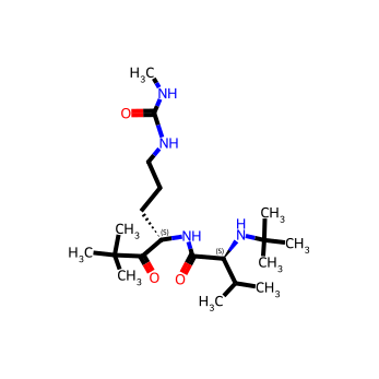 CNC(=O)NCCC[C@H](NC(=O)[C@@H](NC(C)(C)C)C(C)C)C(=O)C(C)(C)C